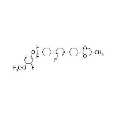 CC1COC(C2CCC(c3ccc(C4CCC(C(F)(F)Oc5ccc(OC(F)(F)F)c(F)c5)CC4)c(F)c3)CC2)OC1